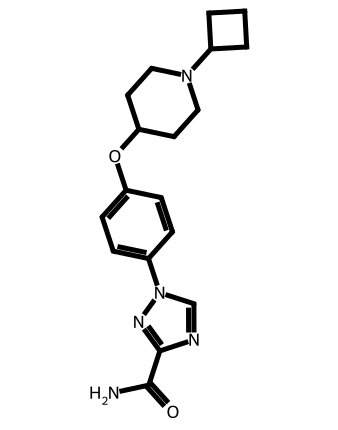 NC(=O)c1ncn(-c2ccc(OC3CCN(C4CCC4)CC3)cc2)n1